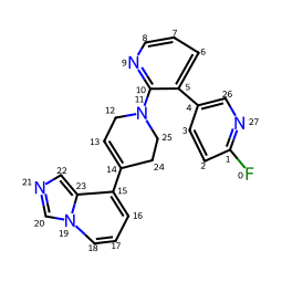 Fc1ccc(-c2cccnc2N2CC=C(c3cccn4cncc34)CC2)cn1